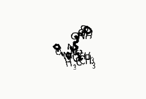 CC(C)(C)OC(=O)N(c1ccc(C=CC(=O)NOC2CCCCO2)nc1)[C@@H]1CCN(CCOc2ccccc2)C1